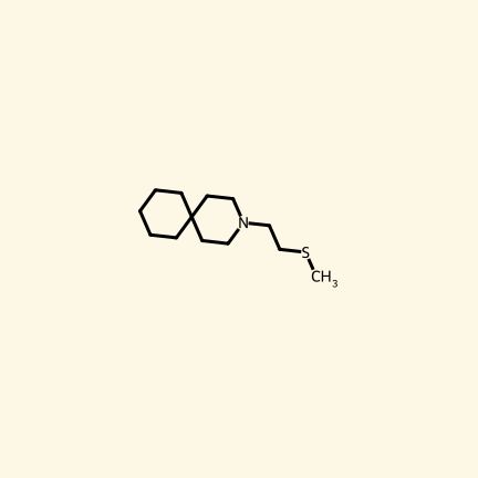 CSCCN1CCC2(CCCCC2)CC1